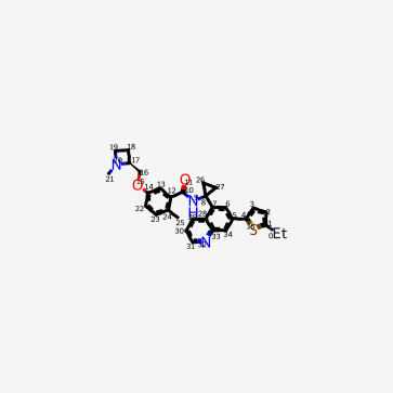 CCc1ccc(-c2cc(C3(NC(=O)c4cc(OC[C@@H]5CCN5C)ccc4C)CC3)c3cccnc3c2)s1